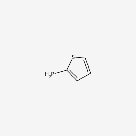 Pc1cccs1